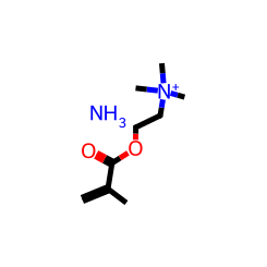 C=C(C)C(=O)OCC[N+](C)(C)C.N